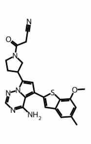 COc1cc(C)cc2cc(-c3cc(C4CCN(C(=O)CC#N)C4)n4ncnc(N)c34)sc12